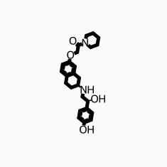 O=C(COc1ccc2c(c1)C[C@@H](NC[C@H](O)c1ccc(O)cc1)CC2)N1CCCCC1